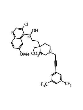 COc1ccc2ncc(Cl)c([C@@H](O)CCC3(CC(=O)O)CCN(CC#Cc4cc(C(F)(F)F)cc(C(F)(F)F)c4)CC3)c2c1